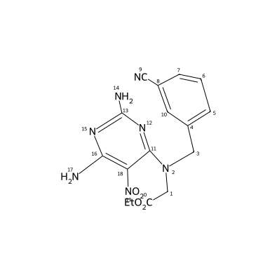 CCOC(=O)CN(Cc1cccc(C#N)c1)c1nc(N)nc(N)c1[N+](=O)[O-]